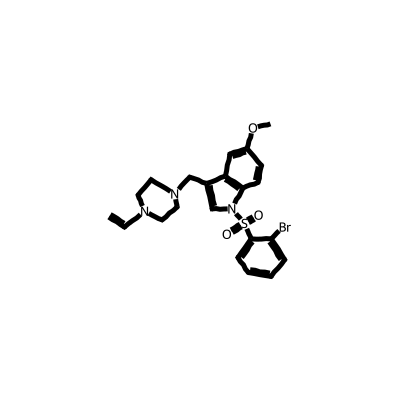 C=CN1CCN(Cc2cn(S(=O)(=O)c3ccccc3Br)c3ccc(OC)cc23)CC1